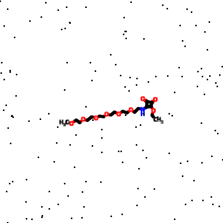 CCOc1c(NCCOCCOCCOCCOCCOCCOC)c(=O)c1=O